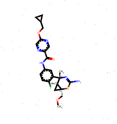 COC[C@]12C[C@H]1[C@](C)(c1cc(NC(=O)c3cnc(OCC4CC4)cn3)ccc1F)N=C(N)S2